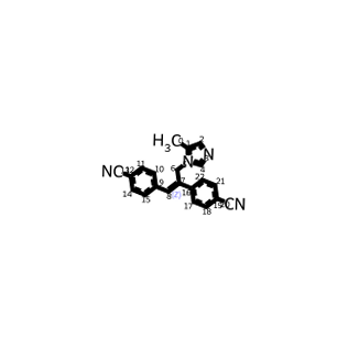 Cc1cncn1C/C(=C\c1ccc(C#N)cc1)c1ccc(C#N)cc1